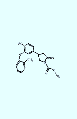 COc1ccc(C2CC(=O)N(C(=O)OC(C)(C)C)C2)cc1Oc1ccccc1C